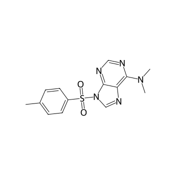 Cc1ccc(S(=O)(=O)n2cnc3c(N(C)C)ncnc32)cc1